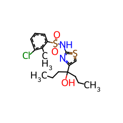 CCCC(O)(CCC)c1csc(NS(=O)(=O)c2cccc(Cl)c2C)n1